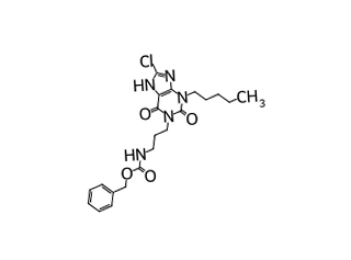 CCCCCn1c(=O)n(CCCNC(=O)OCc2ccccc2)c(=O)c2[nH]c(Cl)nc21